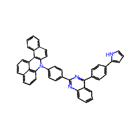 c1c[nH]c(-c2ccc(-c3nc(-c4ccc(N5c6ccc7ccccc7c6-c6cccc7cccc5c67)cc4)nc4ccccc34)cc2)c1